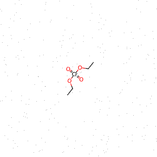 CC[O][Cr](=[O])(=[O])[O]CC